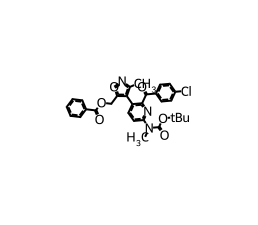 Cc1noc(COC(=O)c2ccccc2)c1-c1ccc(N(C)C(=O)OC(C)(C)C)nc1C(=O)c1ccc(Cl)cc1